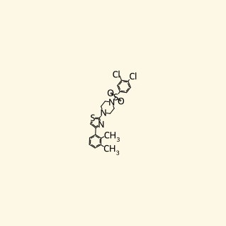 Cc1cccc(-c2csc(N3CCN(S(=O)(=O)c4ccc(Cl)c(Cl)c4)CC3)n2)c1C